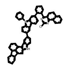 Clc1nc(-c2ccccc2-c2ccc3c4cc(-c5ccc6[nH]c7cc8c9c(cccc9c7c6c5)-c5ccccc5-8)ccc4n(-c4ccccc4)c3c2)c2ccc3ccccc3c2n1